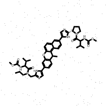 CCCN(Cc1ncc(-c2ccc3c(c2)Oc2ccc4cc(-c5cnc([C@@H]6CCCN6C(=O)C(NC(=O)OC)C(C)C)[nH]5)ccc4c2C3C)[nH]1)C(=O)C(NC(=O)OC)C(C)C